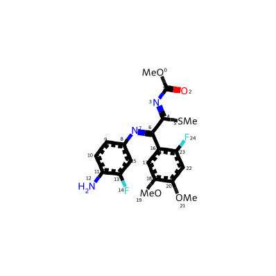 COC(=O)/N=C(SC)/C(=N/c1ccc(N)c(F)c1)c1cc(OC)c(OC)cc1F